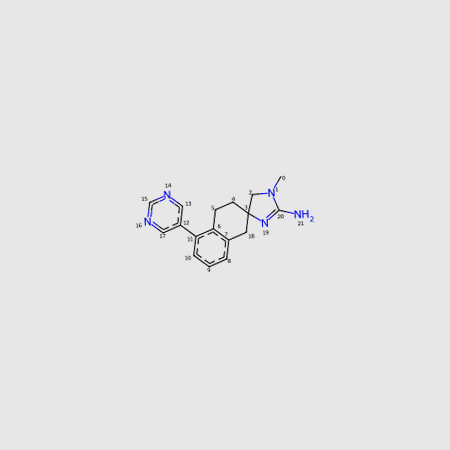 CN1CC2(CCc3c(cccc3-c3cncnc3)C2)N=C1N